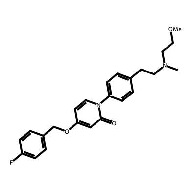 COCCN(C)CCc1ccc(-n2ccc(OCc3ccc(F)cc3)cc2=O)cc1